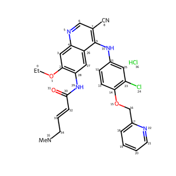 CCOc1cc2ncc(C#N)c(Nc3ccc(OCc4ccccn4)c(Cl)c3)c2cc1NC(=O)C=CCNC.Cl